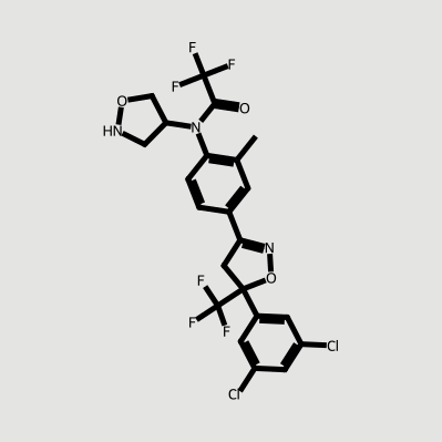 Cc1cc(C2=NOC(c3cc(Cl)cc(Cl)c3)(C(F)(F)F)C2)ccc1N(C(=O)C(F)(F)F)C1CNOC1